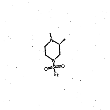 CCS(=O)(=O)N1CCN(C)[C@@H](C)C1